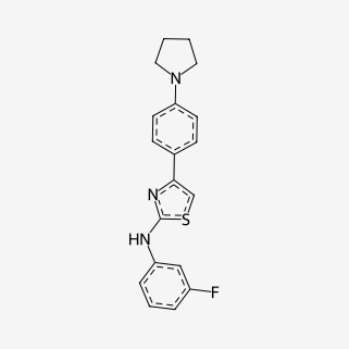 Fc1cccc(Nc2nc(-c3ccc(N4CCCC4)cc3)cs2)c1